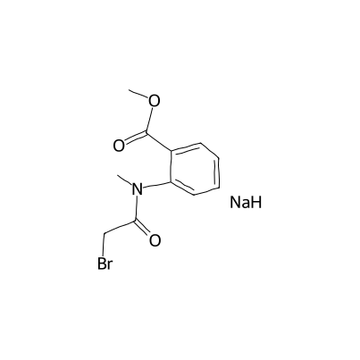 COC(=O)c1ccccc1N(C)C(=O)CBr.[NaH]